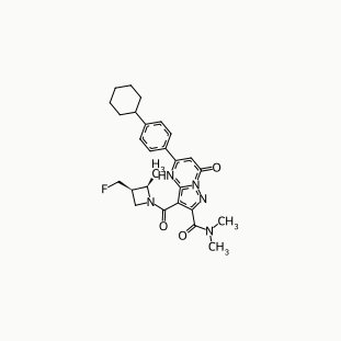 C[C@@H]1[C@H](CF)CN1C(=O)c1c(C(=O)N(C)C)nn2c(=O)cc(-c3ccc(C4CCCCC4)cc3)[nH]c12